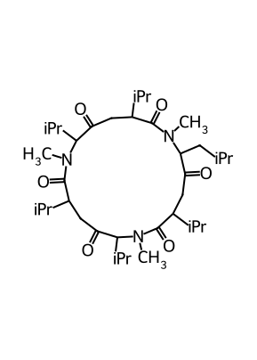 CC(C)CC1C(=O)CC(C(C)C)C(=O)N(C)C(C(C)C)C(=O)CC(C(C)C)C(=O)N(C)C(C(C)C)C(=O)CC(C(C)C)C(=O)N1C